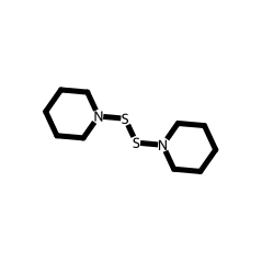 C1CCN(SSN2CCCCC2)CC1